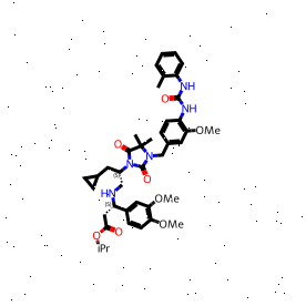 COc1cc(CN2C(=O)N([C@H](CN[C@@H](CC(=O)OC(C)C)c3ccc(OC)c(OC)c3)CC3CC3)C(=O)C2(C)C)ccc1NC(=O)Nc1ccccc1C